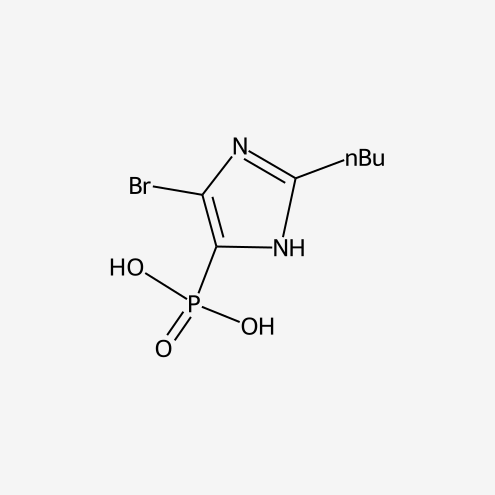 CCCCc1nc(Br)c(P(=O)(O)O)[nH]1